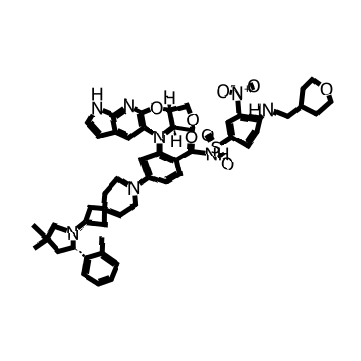 Cc1ccccc1[C@@H]1CC(C)(C)CN1C1CC2(CCN(c3ccc(C(=O)NS(=O)(=O)c4ccc(NCC5CCOCC5)c([N+](=O)[O-])c4)c(N4c5cc6cc[nH]c6nc5O[C@@H]5COC[C@H]54)c3)CC2)C1